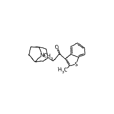 Cc1sc2ccccc2c1C(=O)CC1CC2CCC(C1)N2C